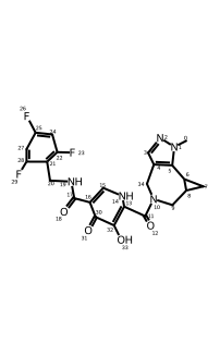 Cn1ncc2c1C1CC1CN(C(=O)c1[nH]cc(C(=O)NCc3c(F)cc(F)cc3F)c(=O)c1O)C2